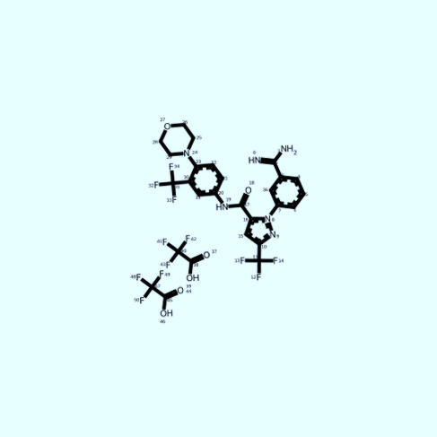 N=C(N)c1cccc(-n2nc(C(F)(F)F)cc2C(=O)Nc2ccc(N3CCOCC3)c(C(F)(F)F)c2)c1.O=C(O)C(F)(F)F.O=C(O)C(F)(F)F